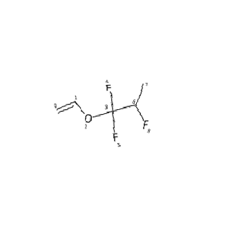 C=COC(F)(F)C(C)F